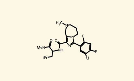 CNC(=O)C(CC(C)C)NC(=O)c1nc(-c2cc(Cl)c(F)cc2F)n2c1CN(C)CCC2